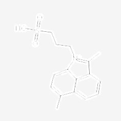 CC1=[N+](CCCS(=O)(=O)O)c2ccc(C)c3cccc1c23